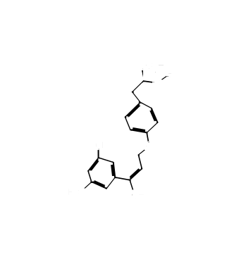 CCO[C@@H](Cc1ccc(OC/C=C(/C)c2cc(C(F)(F)F)cc(C(F)(F)F)c2)cc1)C(=O)O